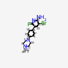 CC(C)N1CCN(c2ccc(-c3cc(Br)c(N)nc3F)cc2)CC1